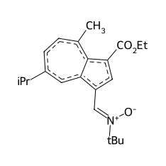 CCOC(=O)c1cc(C=[N+]([O-])C(C)(C)C)c2cc(C(C)C)ccc(C)c1-2